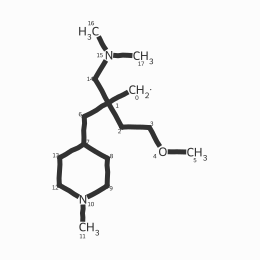 [CH2]C(CCOC)(CC1CCN(C)CC1)CN(C)C